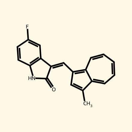 Cc1cc(C=C2C(=O)Nc3ccc(F)cc32)c2cccccc1-2